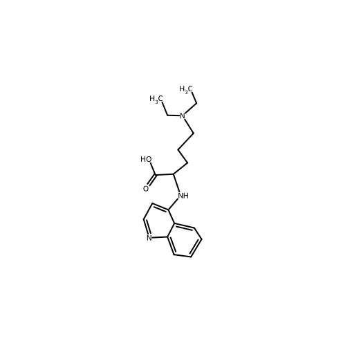 CCN(CC)CCCC(Nc1ccnc2ccccc12)C(=O)O